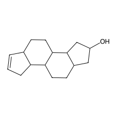 OC1CC2CCC3C4CC=CC4CCC3C2C1